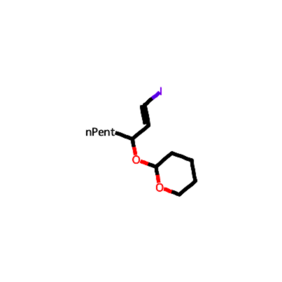 CCCCCC(/C=C/I)OC1CCCCO1